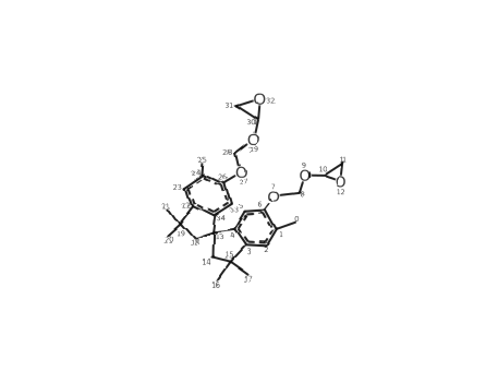 Cc1cc2c(cc1OCOC1CO1)C1(CC2(C)C)CC(C)(C)c2cc(C)c(OCOC3CO3)cc21